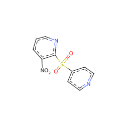 O=[N+]([O-])c1cccnc1S(=O)(=O)c1ccncc1